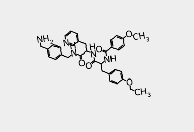 CCOc1ccc(CC(NC(=O)c2ccc(OC)cc2)C(=O)NC(Cc2cccnc2)C(=O)NCc2ccc(CN)cc2)cc1